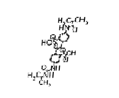 CC(C)NC(=O)Nc1ccc(/C=C/c2ccc(NC(=O)C(C)C)cc2S(=O)(=O)O)c(S(=O)(=O)O)c1